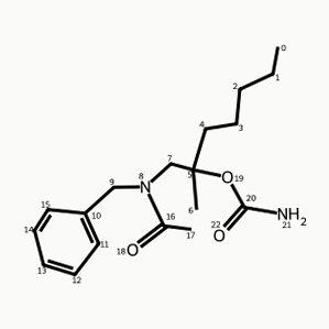 CCCCCC(C)(CN(Cc1ccccc1)C(C)=O)OC(N)=O